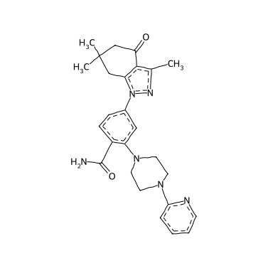 Cc1nn(-c2ccc(C(N)=O)c(N3CCN(c4ccccn4)CC3)c2)c2c1C(=O)CC(C)(C)C2